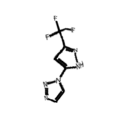 FC(F)(F)c1cc(-n2ccnn2)[nH]n1